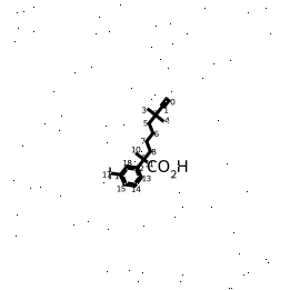 C#CC(C)(C)CCCCC(C)(C(=O)O)c1cccc(I)c1